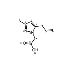 C=CCc1cc(C)nn1CC(=O)O